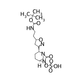 CC(C)(C)OC(=O)NCCC1CC([C@@H]2CC[C@H]3CN2C(=O)N3OS(=O)(=O)O)=NO1